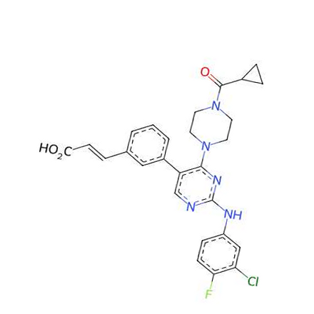 O=C(O)/C=C/c1cccc(-c2cnc(Nc3ccc(F)c(Cl)c3)nc2N2CCN(C(=O)C3CC3)CC2)c1